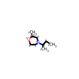 CCC(C)N1CCO[C@@H](C)C1